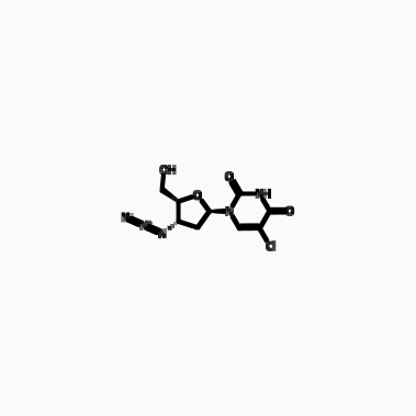 [N-]=[N+]=N[C@H]1C[C@H](n2cc(Cl)c(=O)[nH]c2=O)O[C@@H]1CO